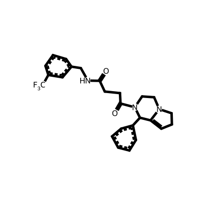 O=C(CCC(=O)N1CCN2CCC=C2C1c1ccccc1)NCc1cccc(C(F)(F)F)c1